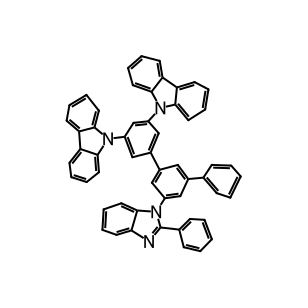 c1ccc(-c2cc(-c3cc(-n4c5ccccc5c5ccccc54)cc(-n4c5ccccc5c5ccccc54)c3)cc(-n3c(-c4ccccc4)nc4ccccc43)c2)cc1